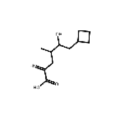 CC(CC(=N)C(=O)O)C(O)CC1CCC1